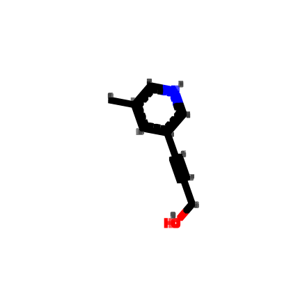 Cc1cncc(C#CCO)c1